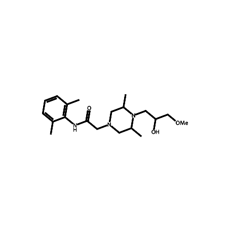 COCC(O)CN1C(C)CN(CC(=O)Nc2c(C)cccc2C)CC1C